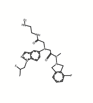 CCNCCNC(=O)CN(CC(=O)N(C)N1Cc2cccc(F)c2C1)c1ccc2c(cnn2CC(F)F)c1